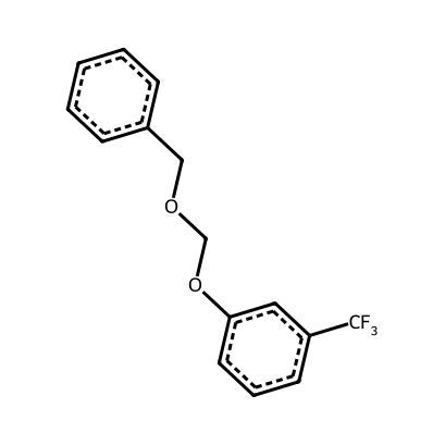 FC(F)(F)c1cccc(OCOCc2ccccc2)c1